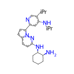 CC(C)Nc1cc(-c2ccc3ccc(N[C@@H]4CCCC[C@@H]4N)nn23)ncc1C(C)C